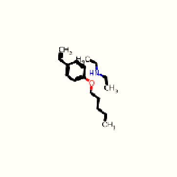 C=Cc1ccc(OCCCCC)cc1.CCNCC